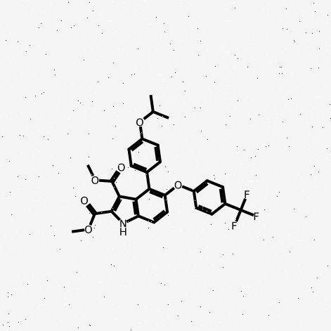 COC(=O)c1[nH]c2ccc(Oc3ccc(C(F)(F)F)cc3)c(-c3ccc(OC(C)C)cc3)c2c1C(=O)OC